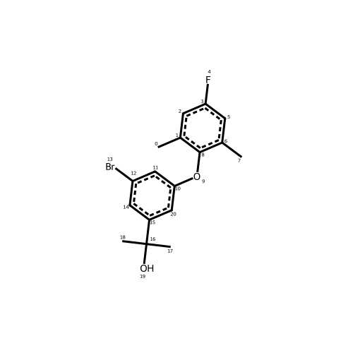 Cc1cc(F)cc(C)c1Oc1cc(Br)cc(C(C)(C)O)c1